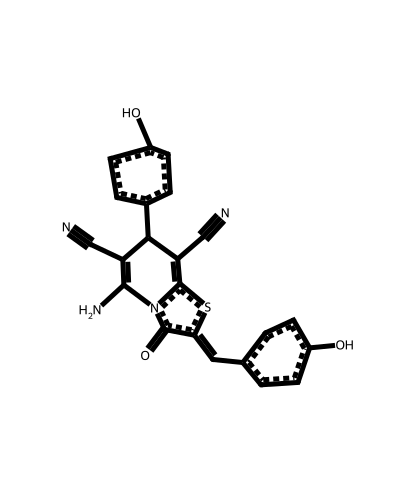 N#CC1=C(N)n2c(sc(=Cc3ccc(O)cc3)c2=O)=C(C#N)C1c1ccc(O)cc1